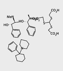 CN[C@@H](C)[C@@H](O)c1ccccc1.C[C@@H](N)[C@@H](O)c1ccccc1.O=C(O)CSC(SCC(=O)O)SCC(=O)O.c1ccc(C2(N3CCCCC3)CCCCC2)cc1